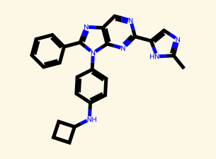 Cc1ncc(-c2ncc3nc(-c4ccccc4)n(-c4ccc(NC5CCC5)cc4)c3n2)[nH]1